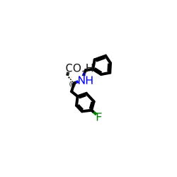 O=C(O)C[C@@H](Cc1ccc(F)cc1)NCc1ccccc1